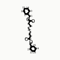 O=C(CCSSCCC(=O)OCc1ccccc1)OCc1ccccc1